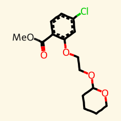 COC(=O)c1ccc(Cl)cc1OCCOC1CCCCO1